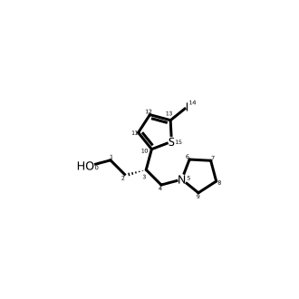 OCC[C@@H](CN1CCCC1)c1ccc(I)s1